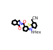 CCCCCCN1c2cccc(CC#N)c2Sc2c(C(=O)N3Cc4ccccc4C3=O)cccc21